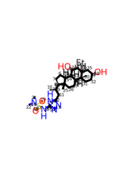 CC[C@H]1[C@@H](O)[C@H]2[C@@H]3CC[C@H]([C@H](C)Cc4nnc(NS(=O)(=O)N(C)C)[nH]4)C3(C)CC[C@@H]2[C@@]2(C)CC[C@@H](O)C[C@@H]12